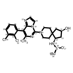 Cc1nc(N2CCC3(CC2)C[C@@H](O)C[C@H]3N[S+]([O-])C(C)(C)C)n2ccnc2c1-c1cccc(Cl)c1Cl